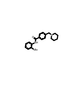 CC(C)(C)c1ccccc1NC(=O)c1ccc(CN2CCCCC2)cc1